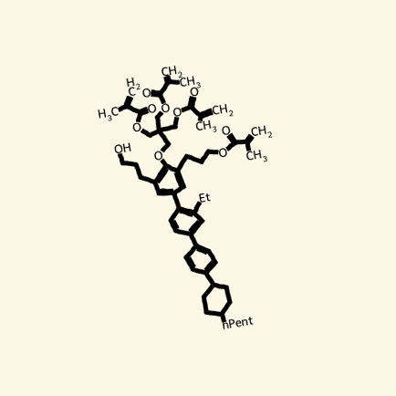 C=C(C)C(=O)OCCCc1cc(-c2ccc(-c3ccc(C4CCC(CCCCC)CC4)cc3)cc2CC)cc(CCCO)c1OCC(COC(=O)C(=C)C)(COC(=O)C(=C)C)COC(=O)C(=C)C